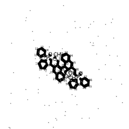 COCc1c(CCP(=O)(c2ccccc2)c2ccccc2)cc2ccccc2c1C1c2ccccc2C=C(CCP(=O)(c2ccccc2)c2ccccc2)C1(O)COC